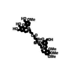 COc1ccc(C2c3c(cc(CO)c(CO)c3OC)CC[N+]2(C)CCCOC(=O)/C=C/C(=O)OCCC[N+]2(C)CCc3cc(OC)c(OC)c(OC)c3C2Cc2cc(CO)c(OC)c(OC)c2)cc1CO